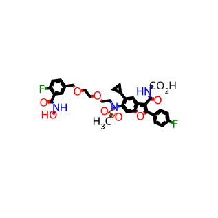 CS(=O)(=O)N(CCOCCOCc1ccc(F)c(C(=O)NO)c1)c1cc2oc(-c3ccc(F)cc3)c(C(=O)NC(=O)O)c2cc1C1CC1